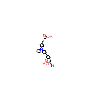 N#CC(=Cc1ccc(-c2ccc3c(c2)C2CCCC2N3c2ccc(CCCCC(=O)O)cc2)cc1)C(=O)O